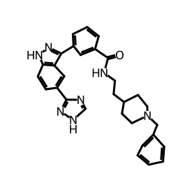 O=C(NCCC1CCN(Cc2ccccc2)CC1)c1cccc(-c2n[nH]c3ccc(-c4nc[nH]n4)cc23)c1